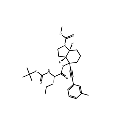 CCC[C@H](NC(=O)OC(C)(C)C)C(=O)O[C@@]1(C#Cc2cccc(C)c2)CCC[C@@H]2[C@H]1CCN2C(=O)OC